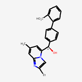 CCc1cn2c([C@H](O)c3ccc(-c4ccccc4C(=O)O)cc3)cc(C)cc2n1